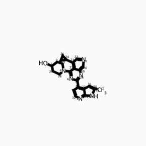 OC1CCN(c2nc(-c3ccnc4[nH]c(C(F)(F)F)cc34)nc3cncc(C4CC4)c23)CC1